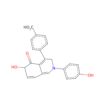 O=C(O)c1ccc(C2=C3C(=O)C(O)C=CC3=CN(c3ccc(O)cc3)C2)cc1